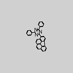 c1ccc(-c2nc(-c3ccccc3)nc(-c3ccc4c5c3ccc3ccc6cccc-4c6c35)n2)cc1